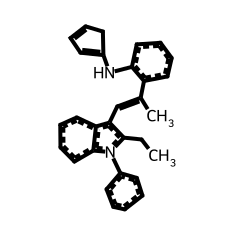 CCc1c(/C=C(\C)c2ccccc2NC2=CC=CC2)c2ccccc2n1-c1ccccc1